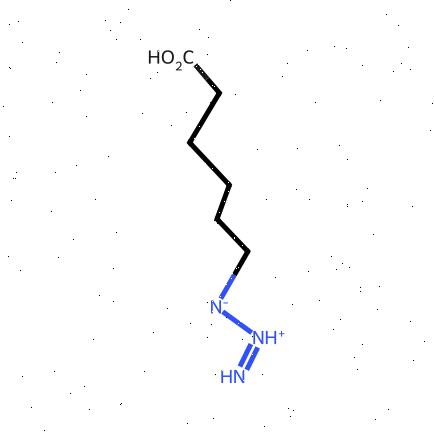 N=[NH+][N-]CCCCCC(=O)O